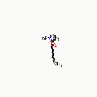 CCCCCCCCC(=O)[O-].CCC[N+](CCC)(CCC)CCC